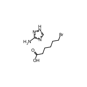 Nc1nc[nH]n1.O=C(O)CCCCCBr